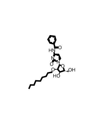 CCCCCCCCCO[C@@H]1[C@H](O)[C@@H](CO)O[C@H]1n1ccc(NC(=O)c2ccccc2)nc1=O